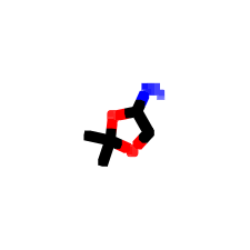 CC1(C)OCC(N)O1